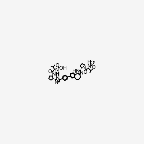 COC(=O)N[C@H](C(=O)N1CCC[C@H]1c1nc2c([nH]1)-c1ccc(-c3ccc(-c4cnc([C@H]5CCC[C@H]5NC(=O)[C@@H](NC(=O)O)C(C)C)[nH]4)cc3)cc1CCC2)C(C)C